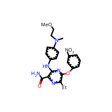 CCc1nc(C(N)=O)c(Nc2ccc(N(C)CCOC)cc2)nc1Oc1cccc([N+](=O)[O-])c1